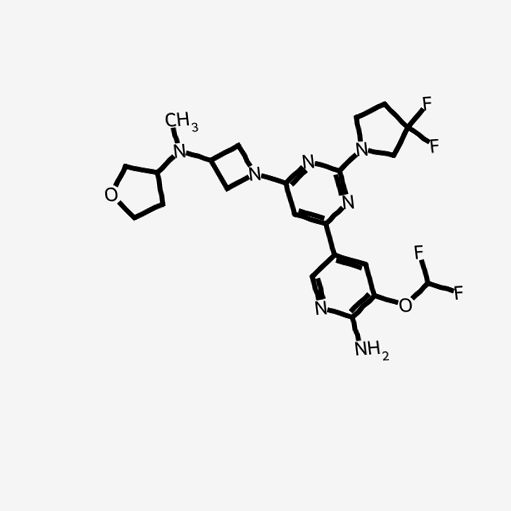 CN(C1CCOC1)C1CN(c2cc(-c3cnc(N)c(OC(F)F)c3)nc(N3CCC(F)(F)C3)n2)C1